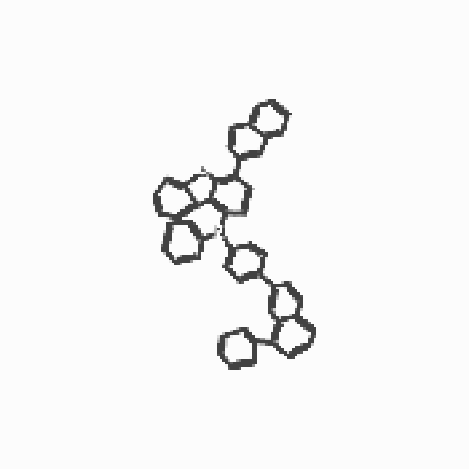 c1ccc(-c2cccc3ccc(-c4ccc(N(c5ccccc5)c5ccc(-c6ccc7ccccc7c6)c6sc7ccccc7c56)cc4)cc23)cc1